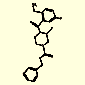 NCc1ccc(F)cc1C(=O)C1CCN(C(=O)OCc2ccccc2)CC1F